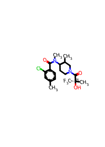 Cc1ccc(C(=O)N(C)C2CCN(C(=O)[C@@](C)(O)C(F)(F)F)CC2C)c(Cl)c1